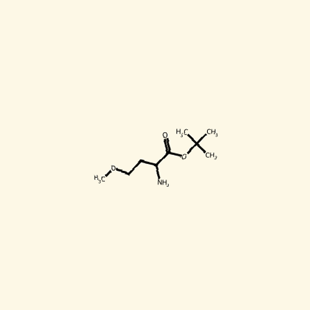 COCCC(N)C(=O)OC(C)(C)C